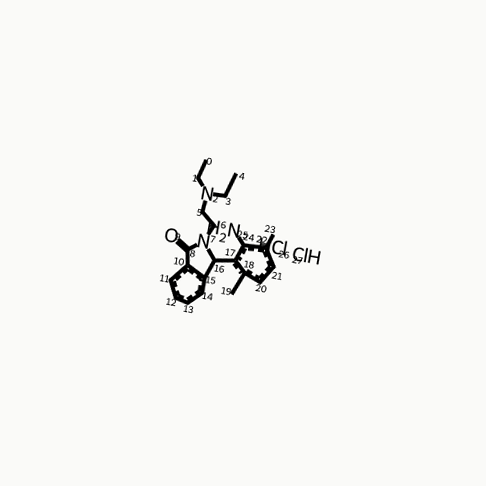 CCN(CC)CCN1C(=O)c2ccccc2C1c1c(C)ccc(C)c1N.Cl.Cl